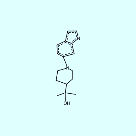 CC(C)(O)C1CCN(c2ccc3ccnn3c2)CC1